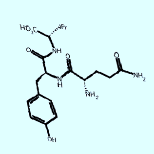 CC(C)[C@H](NC(=O)[C@H](Cc1ccc(O)cc1)NC(=O)[C@@H](N)CCC(N)=O)C(=O)O